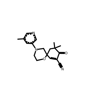 Cc1cncc(N2CCOC3(C=C(C#N)C(=O)C(C)(C)C3)C2)c1